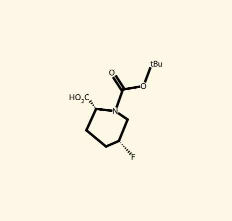 CC(C)(C)OC(=O)N1C[C@H](F)CC[C@@H]1C(=O)O